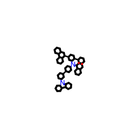 c1ccc(-c2ccc(-c3cc4ccccc4c4ccccc34)cc2N(c2ccc(-c3cccc(-n4c5ccccc5c5ccccc54)c3)cc2)c2cccc3ccccc23)cc1